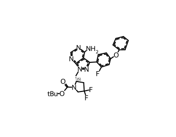 CC(C)(C)OC(=O)N1CC(F)(F)C[C@H]1Cn1nc(-c2ccc(Oc3ccccc3)cc2F)c2c(N)ncnc21